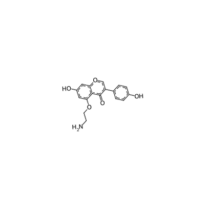 NCCOc1cc(O)cc2occ(-c3ccc(O)cc3)c(=O)c12